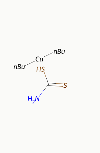 CCC[CH2][Cu][CH2]CCC.NC(=S)S